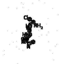 CN(C)CC[C@H](CSc1ccccc1)Nc1ccc(S(=O)(=O)NC(=O)c2ccc3c(c2)CC[C@@H]2CN(Cc4cc(CN)ccc4-c4ccc(Cl)cc4)CCN32)cc1[N+](=O)[O-]